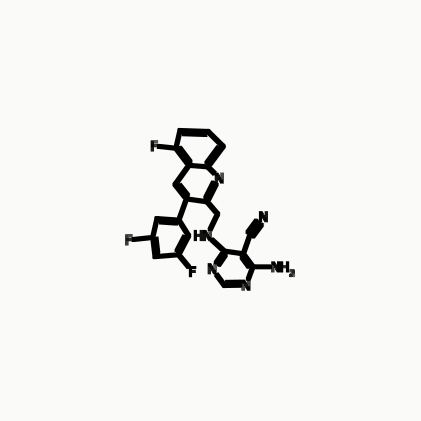 N#Cc1c(N)ncnc1NCc1nc2cccc(F)c2cc1-c1cc(F)cc(F)c1